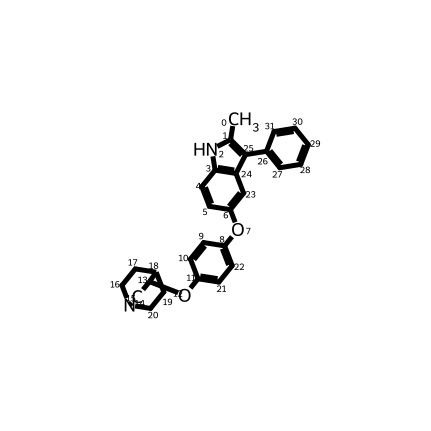 Cc1[nH]c2ccc(Oc3ccc(OC4CN5CCC4CC5)cc3)cc2c1-c1ccccc1